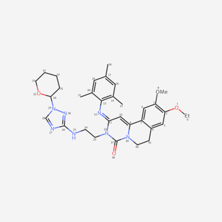 CCOc1cc2c(cc1OC)-c1c/c(=N\c3c(C)cc(C)cc3C)n(CCNc3ncn(C4CCCCO4)n3)c(=O)n1CC2